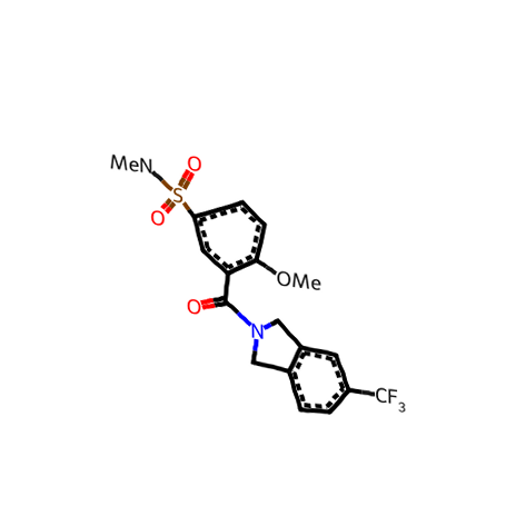 CNS(=O)(=O)c1ccc(OC)c(C(=O)N2Cc3ccc(C(F)(F)F)cc3C2)c1